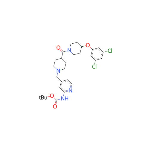 CC(C)(C)OC(=O)Nc1cc(CN2CCC(C(=O)N3CCC(Oc4cc(Cl)cc(Cl)c4)CC3)CC2)ccn1